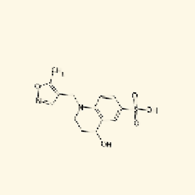 Cc1oncc1CN1CCC(O)c2cc(S(=O)(=O)O)ccc21